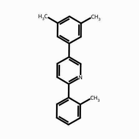 Cc1cc(C)cc(-c2ccc(-c3ccccc3C)nc2)c1